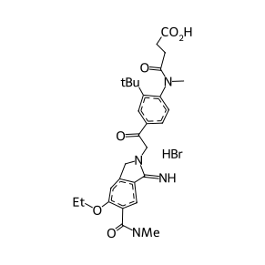 Br.CCOc1cc2c(cc1C(=O)NC)C(=N)N(CC(=O)c1ccc(N(C)C(=O)CCC(=O)O)c(C(C)(C)C)c1)C2